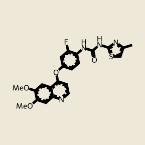 COc1cc2nccc(Oc3ccc(NC(=O)Nc4nc(C)cs4)c(F)c3)c2cc1OC